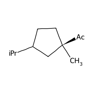 CC(=O)[C@]1(C)CCC(C(C)C)C1